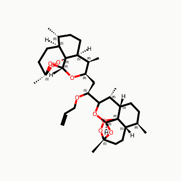 C=CCO[C@@H](C[C@H]1O[C@@H]2O[C@]3(C)CC[C@H]4[C@H](C)CC[C@@H]([C@H]1C)[C@@]24OO3)C1O[C@@H]2O[C@]3(C)CC[C@H]4[C@H](C)CC[C@@H]([C@H]1C)[C@@]24OO3